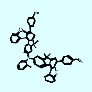 Cc1ccccc1N(c1ccc2c(c1)C(C)(C)c1cc(-c3ccc(C(C)(C)C)cc3)c3oc4ccccc4c3c1-2)c1ccc2c(c1)C(C)(C)c1cc(-c3ccc(C(C)(C)C)cc3)c3oc4ccccc4c3c1-2